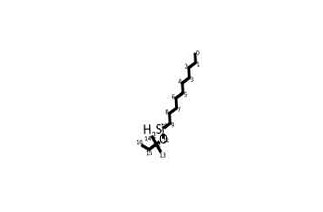 CCCCCCCCCC[SiH2]OC(C)(C)CC